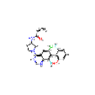 C=CC(=O)NC1CCN(c2ncnc3c(F)c(-c4c(O)cccc4F)c(Cl)cc23)C1